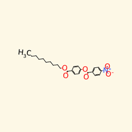 CCCCCCCCCCOC(=O)c1ccc(OC(=O)c2ccc([N+](=O)[O-])cc2)cc1